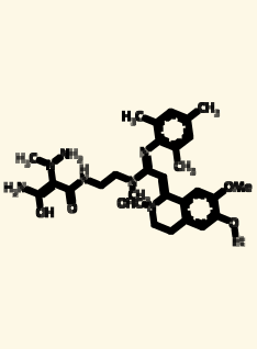 CCOc1cc2c(cc1OC)/C(=C/C(=N\c1c(C)cc(C)cc1C)N(C)CCNC(=O)/C(=C(/N)O)N(C)N)N(C=O)CC2